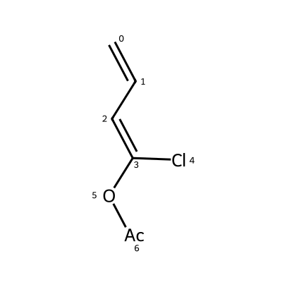 C=CC=C(Cl)OC(C)=O